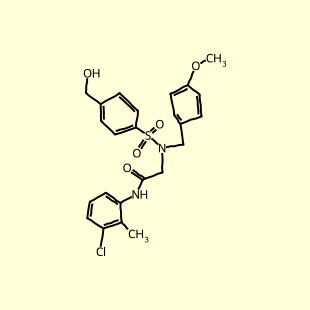 COc1ccc(CN(CC(=O)Nc2cccc(Cl)c2C)S(=O)(=O)c2ccc(CO)cc2)cc1